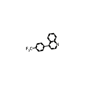 FC(F)(F)c1ccc(-c2ccnc3ccccc23)cc1